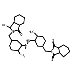 CC1CCC(CN2C(=O)C3CCCCC3C2=O)CC1NNC1CC(CN2C(=O)C3CCCCC3C2O)CCC1C